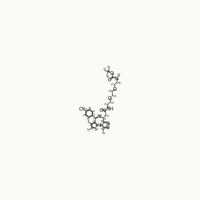 Cc1sc2c(c1C)C(c1ccc(Cl)cc1)=N[C@@H](CC(=O)NCCOCCOCCN(C)C(=O)OC(C)(C)C)c1nnc(C)n1-2